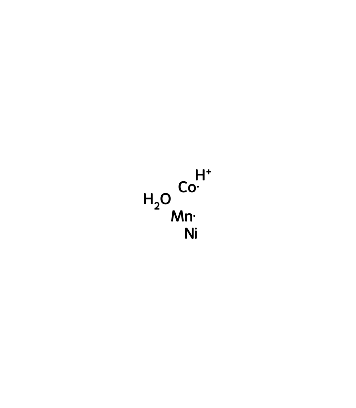 O.[Co].[H+].[Mn].[Ni]